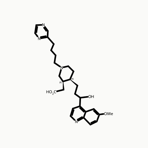 COc1ccc2nccc(C(O)CC[C@@H]3CCN(CCCCc4cnccn4)C[C@@H]3CC(=O)O)c2c1